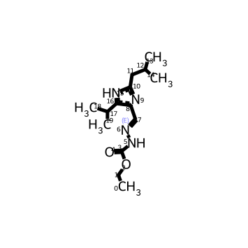 CCOC(=O)N/N=C/c1nc(CC(C)C)[nH]c1C(C)C